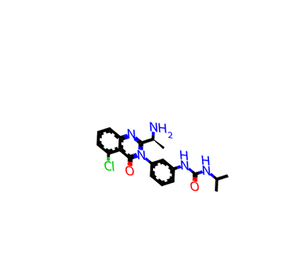 CC(C)NC(=O)Nc1cccc(-n2c([C@H](C)N)nc3cccc(Cl)c3c2=O)c1